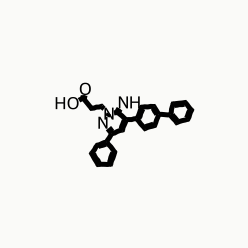 N=c1c(-c2ccc(-c3ccccc3)cc2)cc(-c2ccccc2)nn1CCC(=O)O